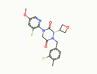 COc1cnc(N2CC(=O)N(Cc3ccc(C)c(F)c3)[C@@H](C3COC3)C2=O)c(F)c1